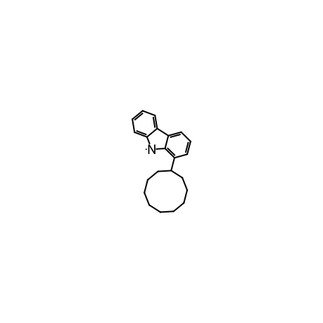 c1ccc2c(c1)[N]c1c-2cccc1C1CCCCCCCCC1